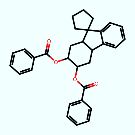 O=C(OC1CC2c3ccccc3C3(CCCC3)C2CC1OC(=O)c1ccccc1)c1ccccc1